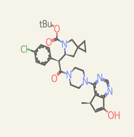 C[C@@H]1C=C(O)c2ncnc(N3CCN(C(=O)[C@@H](c4ccc(Cl)cc4)[C@@H]4CC5(CC5)CN4C(=O)OC(C)(C)C)CC3)c21